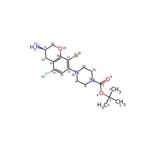 CC(C)(C)OC(=O)N1CCN(c2cc(F)c3c(c2Br)OC[C@H](N)C3)CC1